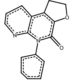 O=c1c2c(c3cccnc3n1-c1ccccc1)CCO2